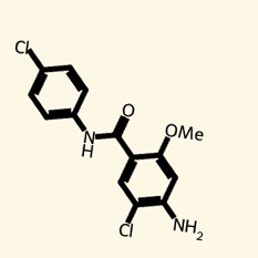 COc1cc(N)c(Cl)cc1C(=O)Nc1ccc(Cl)cc1